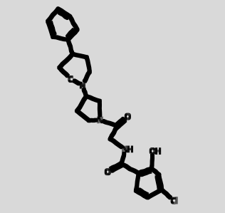 O=C(NCC(=O)N1CCC(N2CCC(c3ccccc3)CC2)C1)c1ccc(Cl)cc1O